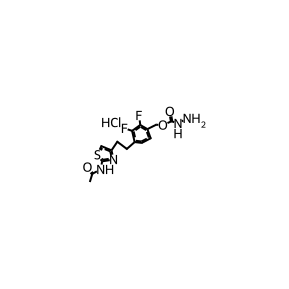 CC(=O)Nc1nc(CCc2ccc(COC(=O)NN)c(F)c2F)cs1.Cl